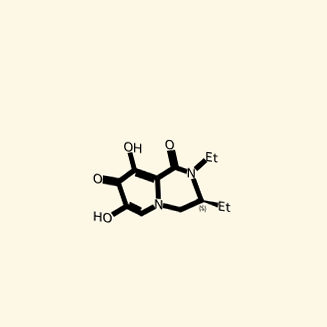 CC[C@H]1Cn2cc(O)c(=O)c(O)c2C(=O)N1CC